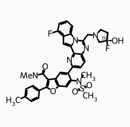 CNC(=O)c1c(-c2ccc(C)cc2)oc2cc(N(C)S(C)(=O)=O)c(-c3ccc4nc(CN5CC[C@](O)(F)C5)n5c6cccc(F)c6cc5c4n3)cc12